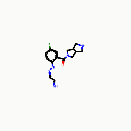 N=C/C=N\Nc1ccc(F)cc1C(=O)N1CC2CNCC2C1